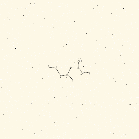 CCCN(C)CC(O)OC